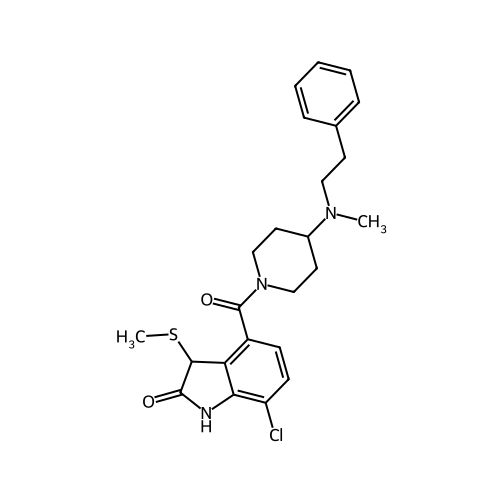 CSC1C(=O)Nc2c(Cl)ccc(C(=O)N3CCC(N(C)CCc4ccccc4)CC3)c21